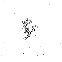 COc1cccc(-c2cn3nc(CO)cc3c(Nc3cc([C@@H]4OC[C@H](OC(O)NC(C)C)[C@@H]4F)[nH]n3)n2)c1